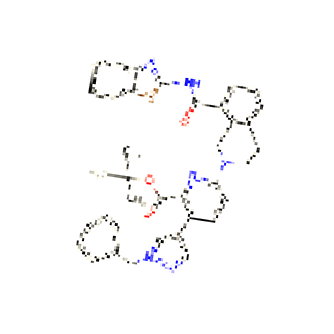 CC(C)(C)OC(=O)c1nc(N2CCc3cccc(C(=O)Nc4nc5ccccc5s4)c3C2)ccc1-c1cnn(Cc2ccccc2)c1